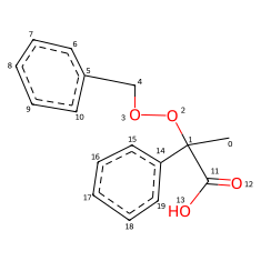 CC(OOCc1ccccc1)(C(=O)O)c1ccccc1